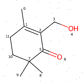 CC1=C(CO)C(=O)C(C)(C)CC1